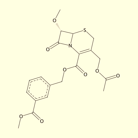 COC(=O)c1cccc(COC(=O)C2=C(COC(C)=O)CSC3[C@@H](OC)C(=O)N23)c1